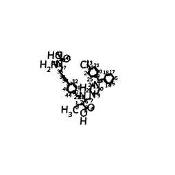 CCC(C(=O)O)C(CN1CCN(C(c2ccccc2)c2ccc(Cl)cc2)CC1)NCc1ccc(C#CCCN(N)C(=O)O)cc1